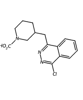 O=C(O)N1CCCC(Cc2nnc(Cl)c3ccccc23)C1